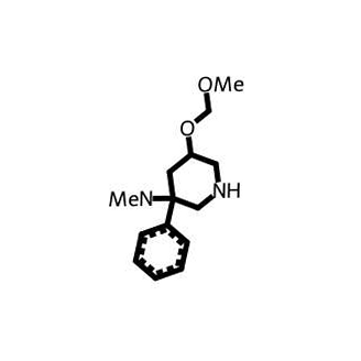 CNC1(c2ccccc2)CNCC(OCOC)C1